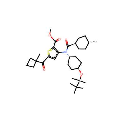 COC(=O)c1sc(C(=O)C2(C)CCC2)cc1N(C(=O)[C@H]1CC[C@H](C)CC1)[C@H]1CC[C@H](O[Si](C)(C)C(C)(C)C)CC1